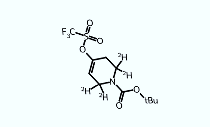 [2H]C1([2H])C=C(OS(=O)(=O)C(F)(F)F)CC([2H])([2H])N1C(=O)OC(C)(C)C